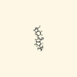 Cn1ccc2cc(N3Cc4ccc(C(F)(F)F)cc4C3=O)ccc21